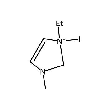 CC[N+]1(I)C=CN(C)C1